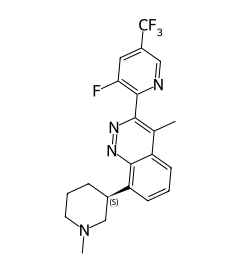 Cc1c(-c2ncc(C(F)(F)F)cc2F)nnc2c([C@@H]3CCCN(C)C3)cccc12